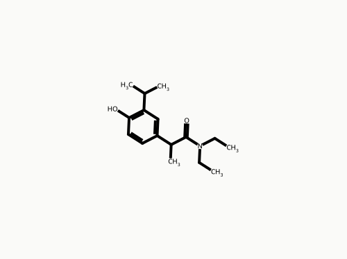 CCN(CC)C(=O)C(C)c1ccc(O)c(C(C)C)c1